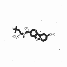 CC(C)(F)C[C@H](N[C@@H](c1ccc2c(c1)oc1ccc(C=O)cc12)C(F)(F)F)C(=O)O